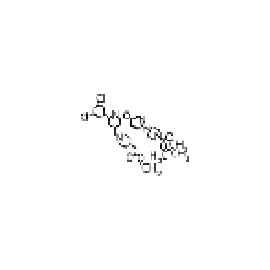 CCOC(=O)CC1CCN(Cc2cc(Oc3ccc(N4CCN(C(=O)OC(C)(C)C)CC4)nc3)nc(-c3cc(Cl)cc(Cl)c3)c2)CC1